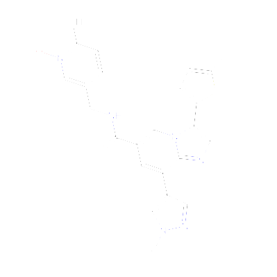 Cc1ccc(-c2cnc3c(-c4cnn(C)c4)cc(C(=O)NCc4ccc(C)[n+]([O-])c4)cn23)s1